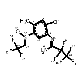 Cc1cc(Cl)c(/N=C(\N)C(F)(F)C(F)(F)F)cc1[S+]([O-])CC(F)(F)F